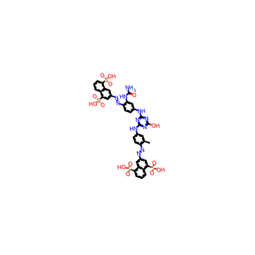 Cc1cc(Nc2nc(O)nc(Nc3ccc(/N=N/c4cc(S(=O)(=O)O)c5cccc(S(=O)(=O)O)c5c4)c(NC(N)=O)c3)n2)ccc1/N=N/c1cc(S(=O)(=O)O)c2cccc(S(=O)(=O)O)c2c1